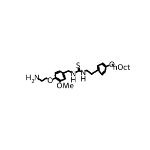 CCCCCCCCOc1ccc(CCNC(=S)NCc2ccc(OCCN)c(OC)c2)cc1